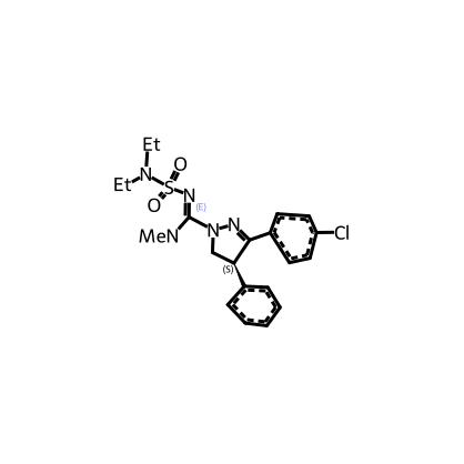 CCN(CC)S(=O)(=O)/N=C(\NC)N1C[C@H](c2ccccc2)C(c2ccc(Cl)cc2)=N1